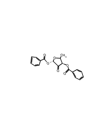 CC1O[C@@H](OC(=O)c2ccccc2)C(=O)[C@@H]1OC(=O)c1ccccc1